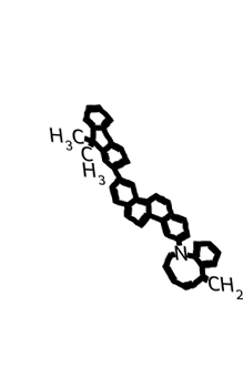 C=C1/C=C\C=C/CN(c2ccc3ccc4c5cc(-c6ccc7c(c6)C(C)(C)c6ccccc6-7)ccc5ccc4c3c2)c2ccccc21